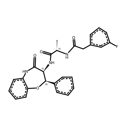 C[C@H](NC(=O)Cc1cccc(F)c1)C(=O)N[C@@H]1C(=O)Nc2ccccc2O[C@@H]1c1ccccc1